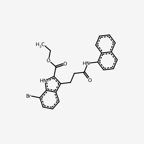 CCOC(=O)c1[nH]c2c(Br)cccc2c1CCC(=O)Nc1cccc2ccccc12